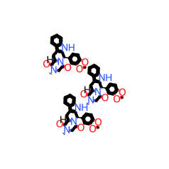 CN1CC(=O)N2[C@H](c3ccc4c(c3)OCO4)c3[nH]c4ccccc4c3C[C@@H]2C1=O.CN1CC(=O)N2[C@H](c3ccc4c(c3)OCO4)c3[nH]c4ccccc4c3C[C@@H]2C1=O.CN1CC(=O)N2[C@H](c3ccc4c(c3)OCO4)c3[nH]c4ccccc4c3C[C@@H]2C1=O